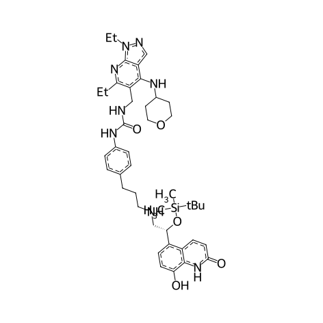 CCc1nc2c(cnn2CC)c(NC2CCOCC2)c1CNC(=O)Nc1ccc(CCCNC[C@H](O[Si](C)(C)C(C)(C)C)c2ccc(O)c3[nH]c(=O)ccc23)cc1